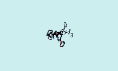 CN1C(c2ccc(-c3ccccc3)cc2)=NC(n2c3ccccc3c3ccccc32)=NC1c1ccc(-c2ccccc2)cc1